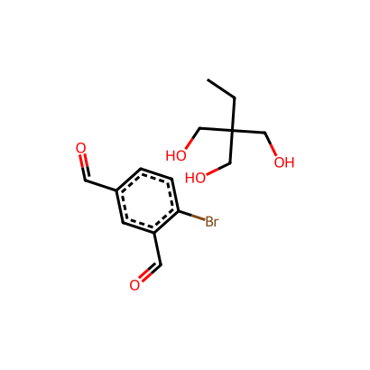 CCC(CO)(CO)CO.O=Cc1ccc(Br)c(C=O)c1